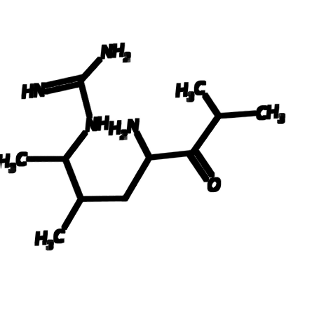 CC(C)C(=O)C(N)CC(C)C(C)NC(=N)N